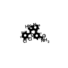 NC(=O)c1cccc(-c2ccnc3[nH]cc(C(=O)c4cccc(Cl)c4Cl)c23)c1